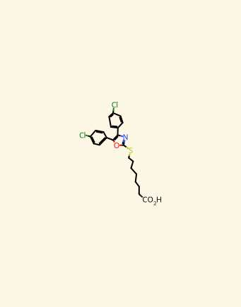 O=C(O)CCCCCCCSc1nc(-c2ccc(Cl)cc2)c(-c2ccc(Cl)cc2)o1